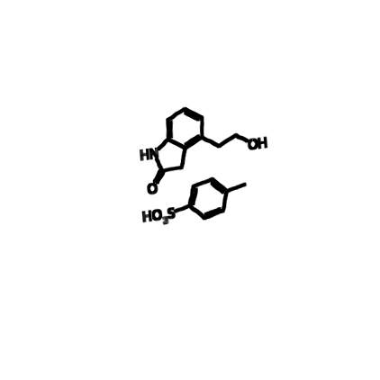 Cc1ccc(S(=O)(=O)O)cc1.O=C1Cc2c(CCO)cccc2N1